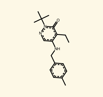 CCc1c(NCc2ccc(C)cc2)cnn(C(C)(C)C)c1=O